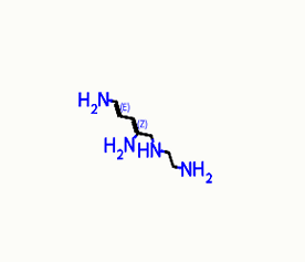 N/C=C/C=C(\N)CNCCN